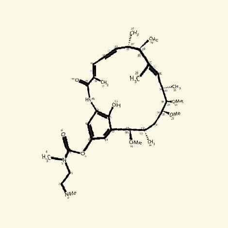 CNCCN(C)C(=O)Oc1cc2c(O)c(c1)[C@H](OC)[C@@H](C)C[C@H](OC)[C@H](OC)[C@@H](C)/C=C(\C)[C@H](OC(C)=O)[C@@H](C)/C=C\C=C(/C)C(=O)N2